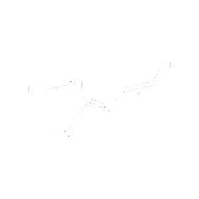 C/C=C/N=C(/N)NC